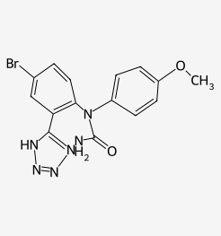 COc1ccc(N(C(N)=O)c2ccc(Br)cc2-c2nnn[nH]2)cc1